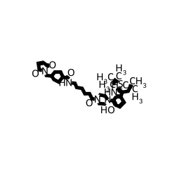 CC(C)(C)Cc1c(SC(C)(C)C)[nH]c2c(N3CCN(C(=O)CCCCCNC(=O)C4CCC(CN5C(=O)C=CC5=O)CC4)CC3)c(O)ccc12